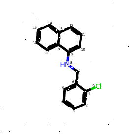 Clc1ccccc1CNc1cccc2ccccc12